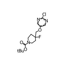 CC(C)(C)OC(=O)N1CCC(F)(COc2cnc(Cl)nc2)CC1